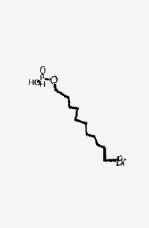 O=[PH](O)OCCCCCCCCCCCBr